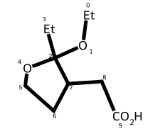 CCOC1(CC)OCCC1CC(=O)O